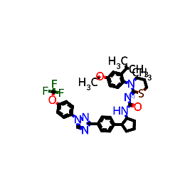 COc1ccc(N2/C(=N/C(=O)NC3CCCC3c3ccc(-c4ncn(-c5ccc(OC(F)(F)F)cc5)n4)cc3)SCCC2C)c(C(C)C)c1